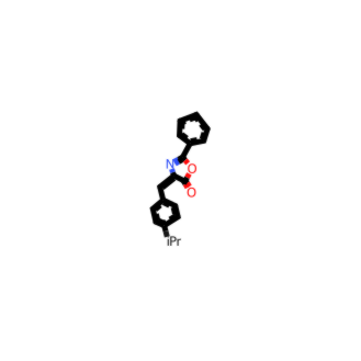 CC(C)c1ccc(C=C2N=C(c3ccccc3)OC2=O)cc1